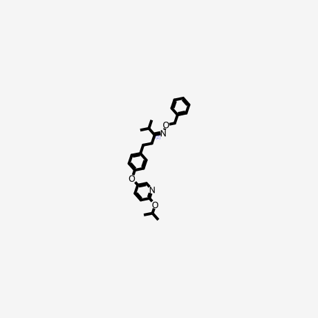 CC(C)Oc1ccc(Oc2ccc(CC/C(=N/OCc3ccccc3)C(C)C)cc2)cn1